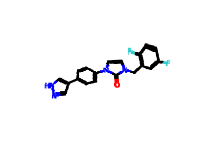 O=c1n(Cc2cc(F)ccc2F)ccn1-c1ccc(-c2cn[nH]c2)cc1